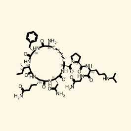 CC[C@H](C)[C@@H]1NC(=O)[C@H](Cc2ccccc2)NC(=O)[C@@H](N)CSSC[C@@H](C(=O)N2CCC[C@H]2C(=O)N[C@@H](CCCNC(C)C)C(=O)NCC(N)=O)NC(=O)[C@H](CC(N)=O)NC(=O)[C@H](CCCC(N)=O)NC1=O